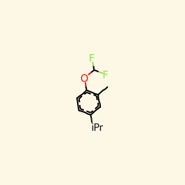 [CH2]C(C)c1ccc(OC(F)F)c(C)c1